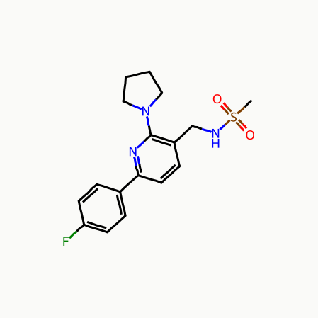 CS(=O)(=O)NCc1ccc(-c2ccc(F)cc2)nc1N1CCCC1